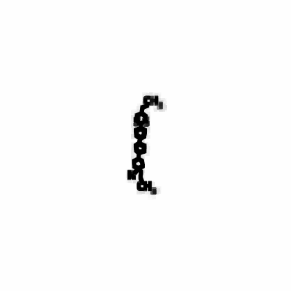 CCCCC1(C#N)CCC(c2ccc(-c3ccc(C4SCC(CCC)CS4)cc3)cc2)CC1